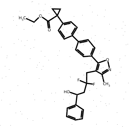 CCOC(=O)C1(c2ccc(-c3ccc(-c4onc(C)c4CC(F)(F)CC(O)c4ccccc4)cc3)cc2)CC1